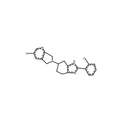 Clc1cnc2c(c1)CN(C1CCc3nc(-c4ccccc4Cl)[nH]c3C1)C2